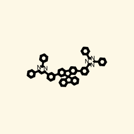 c1ccc(-c2cc(-c3cccc(-c4ccc5c(c4)C4(c6ccccc6-c6ccccc64)c4cc(-c6cccc(-c7nc(-c8ccccc8)nc(-c8ccccc8)n7)c6)ccc4-5)c3)nc(-c3ccccc3)n2)cc1